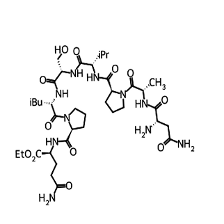 CCOC(=O)[C@H](CCC(N)=O)NC(=O)[C@@H]1CCCN1C(=O)[C@@H](NC(=O)[C@H](CO)NC(=O)[C@@H](NC(=O)[C@@H]1CCCN1C(=O)[C@H](C)NC(=O)[C@@H](N)CC(N)=O)C(C)C)[C@@H](C)CC